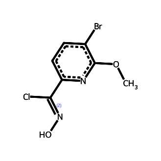 COc1nc(/C(Cl)=N/O)ccc1Br